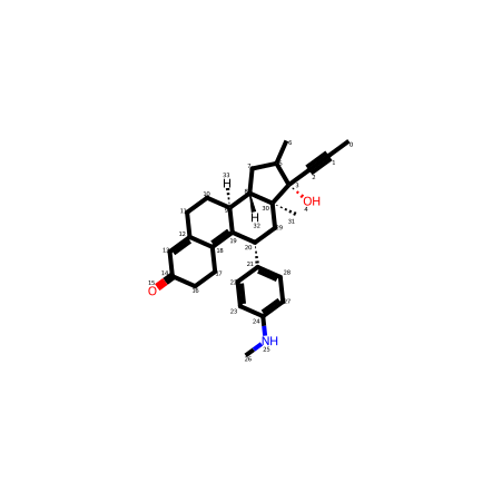 CC#C[C@]1(O)C(C)C[C@H]2[C@@H]3CCC4=CC(=O)CCC4=C3[C@@H](c3ccc(NC)cc3)C[C@@]21C